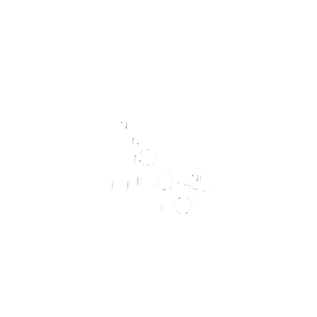 Cl.Cl.NS(=O)(=O)c1cccc(F)c1-c1ccc(-c2ccc(N3CCN(C4CCCC4)CC3)nc2)cc1